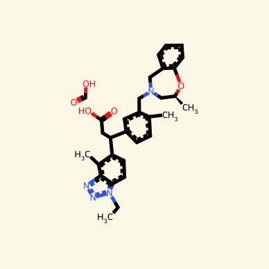 CCn1nnc2c(C)c(C(CC(=O)O)c3ccc(C)c(CN4Cc5ccccc5O[C@@H](C)C4)c3)ccc21.O=CO